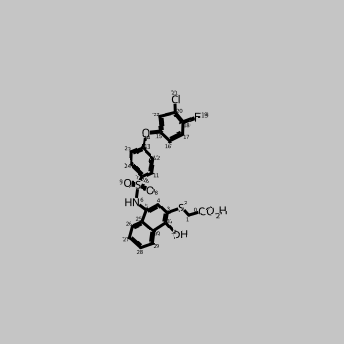 O=C(O)CSc1cc(NS(=O)(=O)c2ccc(Oc3ccc(F)c(Cl)c3)cc2)c2ccccc2c1O